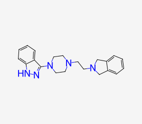 c1ccc2c(c1)CN(CCN1CCN(c3n[nH]c4ccccc34)CC1)C2